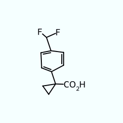 O=C(O)C1(c2ccc(C(F)F)cc2)CC1